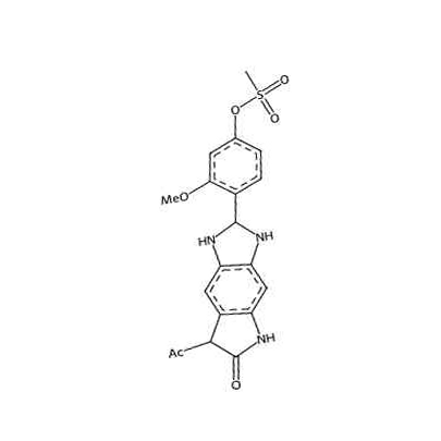 COc1cc(OS(C)(=O)=O)ccc1C1Nc2cc3c(cc2N1)C(C(C)=O)C(=O)N3